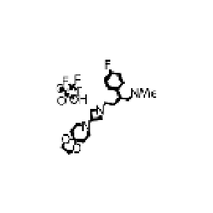 CNCC(CCN1CC(N2CCC3(CC2)OCCO3)C1)c1ccc(F)cc1.O=S(=O)(O)C(F)(F)F